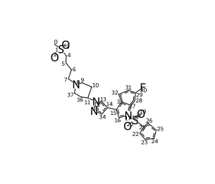 CS(=O)(=O)CCCCN1CCC(n2cc(-c3cn(S(=O)(=O)c4ccccc4)c4cc(F)ccc34)cn2)CC1